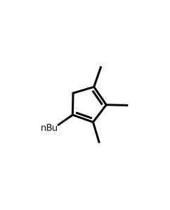 CCCCC1=C(C)C(C)=C(C)C1